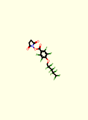 O=C(ON1C(=O)CCC1=O)c1c(F)c(F)c(OCC(F)(F)C(F)(F)C(F)(F)C(F)F)c(F)c1F